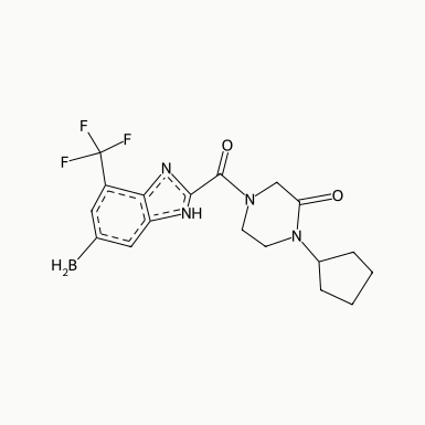 Bc1cc(C(F)(F)F)c2nc(C(=O)N3CCN(C4CCCC4)C(=O)C3)[nH]c2c1